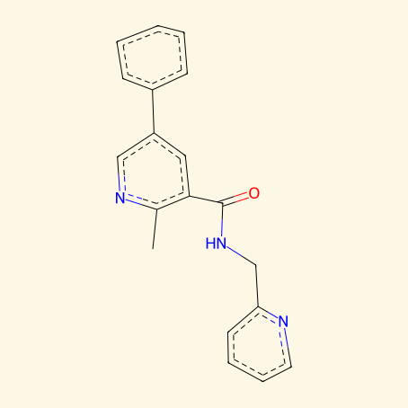 Cc1ncc(-c2ccccc2)cc1C(=O)NCc1ccccn1